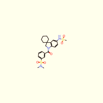 CN(C)S(=O)(=O)c1cccc(C(=O)N2CC3(CCCCC3)c3cc(NS(C)(=O)=O)ccc32)c1